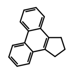 c1ccc2c(c1)c1c(c3ccccc32)CCC1